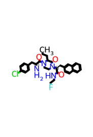 CCCC1C(=O)N([C@@H](Cc2ccc3ccccc3c2)C(=O)NCCF)CCN1C(=O)[C@H](N)Cc1ccc(Cl)cc1